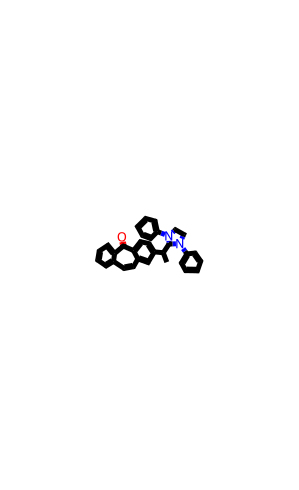 CC(c1ccc2c(=O)c3ccccc3ccc2c1)C1N(c2ccccc2)CCN1c1ccccc1